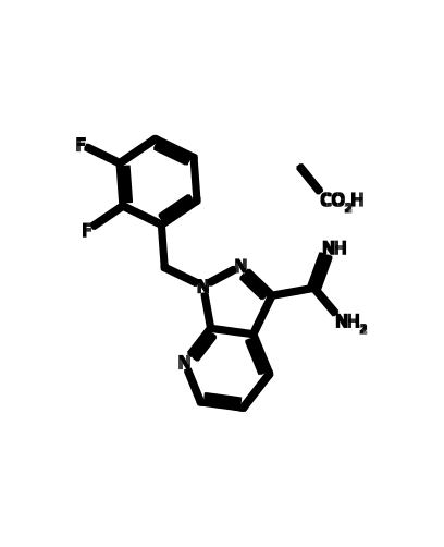 CC(=O)O.N=C(N)c1nn(Cc2cccc(F)c2F)c2ncccc12